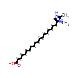 Cc1[nH]cc(CCCCCCCCCCCCCCCCCCC(=O)O)[n+]1C